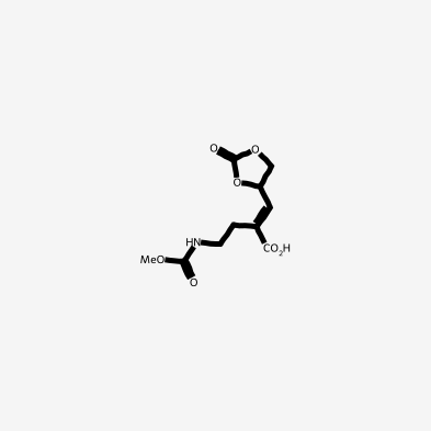 COC(=O)NCCC(=CC1COC(=O)O1)C(=O)O